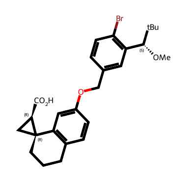 CO[C@H](c1cc(COc2ccc3c(c2)[C@]2(CCC3)C[C@H]2C(=O)O)ccc1Br)C(C)(C)C